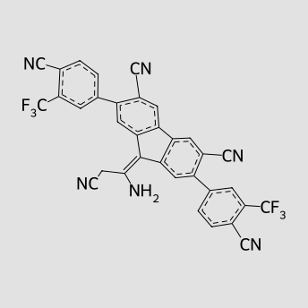 N#CCC(N)=C1c2cc(-c3ccc(C#N)c(C(F)(F)F)c3)c(C#N)cc2-c2cc(C#N)c(-c3ccc(C#N)c(C(F)(F)F)c3)cc21